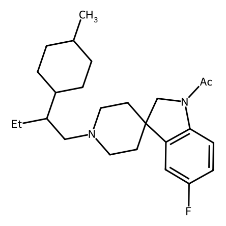 CCC(CN1CCC2(CC1)CN(C(C)=O)c1ccc(F)cc12)C1CCC(C)CC1